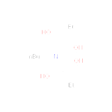 CCCCN(C(O)(O)CC)C(O)(O)CC